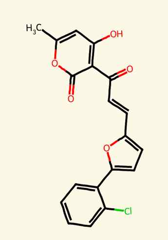 Cc1cc(O)c(C(=O)C=Cc2ccc(-c3ccccc3Cl)o2)c(=O)o1